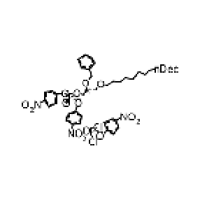 CCCCCCCCCCCCCCCCCCOC[C@H](COP(=O)(Oc1ccc([N+](=O)[O-])cc1)Oc1ccc([N+](=O)[O-])cc1)OCc1ccccc1.O=[N+]([O-])c1ccc(OP(=O)(Cl)Cl)cc1